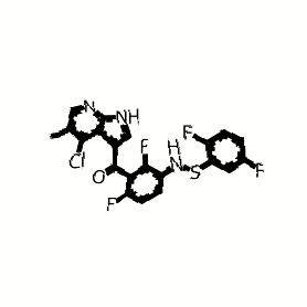 Cc1cnc2[nH]cc(C(=O)c3c(F)ccc(NSc4cc(F)ccc4F)c3F)c2c1Cl